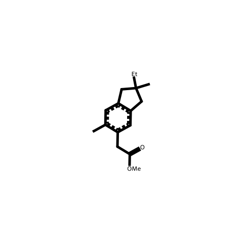 CCC1(C)Cc2cc(C)c(CC(=O)OC)cc2C1